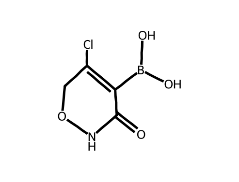 O=C1NOCC(Cl)=C1B(O)O